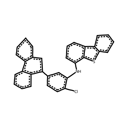 Clc1ccc(-c2cc3ccccc3c3ccccc23)cc1Nc1cccc2c1sc1ccccc12